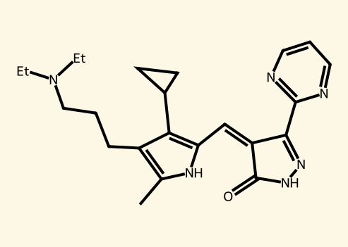 CCN(CC)CCCc1c(C)[nH]c(C=C2C(=O)NN=C2c2ncccn2)c1C1CC1